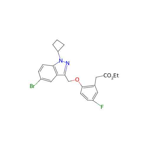 CCOC(=O)Cc1cc(F)ccc1OCc1nn(C2CCC2)c2ccc(Br)cc12